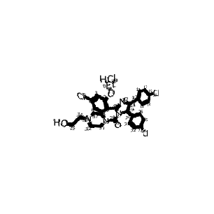 CCOc1cc(Cl)ccc1C1=NC(c2ccc(Cl)cc2)C(c2ccc(Cl)cc2)N1C(=O)N1CCN(CCO)CC1.Cl